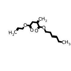 C=CCOC(=O)CC(=C)C(=O)OCCC=CCC